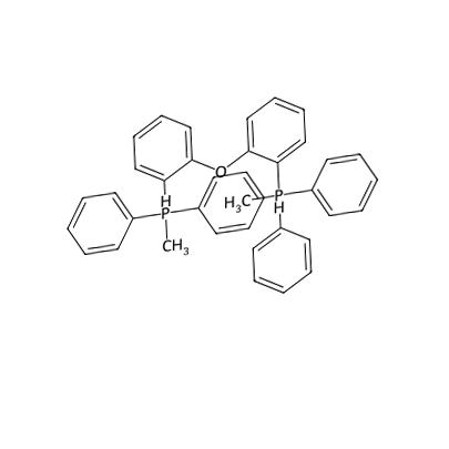 C[PH](c1ccccc1)(c1ccccc1)c1ccccc1Oc1ccccc1[PH](C)(c1ccccc1)c1ccccc1